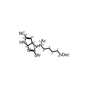 CCCCCCCCCCCCCCN(C(C)=O)N1C(C(C)C)=NC2NC(C#N)=CC21